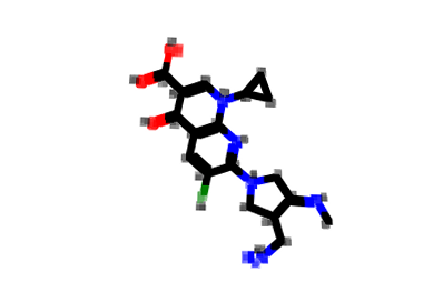 CN=C1CN(c2nc3c(cc2F)c(=O)c(C(=O)O)cn3C2CC2)CC1CN